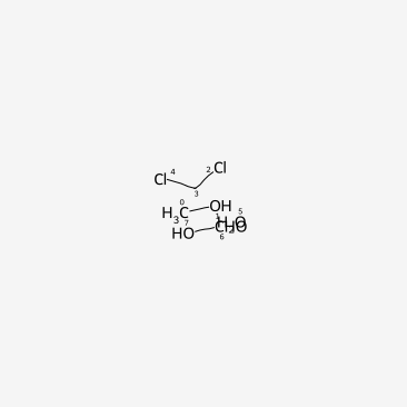 CO.ClCCl.O.O=CO